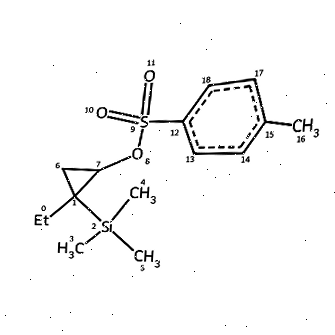 CCC1([Si](C)(C)C)CC1OS(=O)(=O)c1ccc(C)cc1